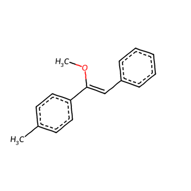 COC(=Cc1ccccc1)c1ccc(C)cc1